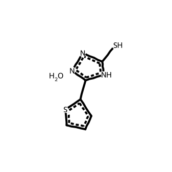 O.Sc1nnc(-c2cccs2)[nH]1